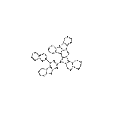 c1ccc2cc(-c3nc(-n4c5ccc6ccccc6c5c5cc6c7ccccc7n7c8ccccc8c(c54)c67)nc4sc5ccccc5c34)ccc2c1